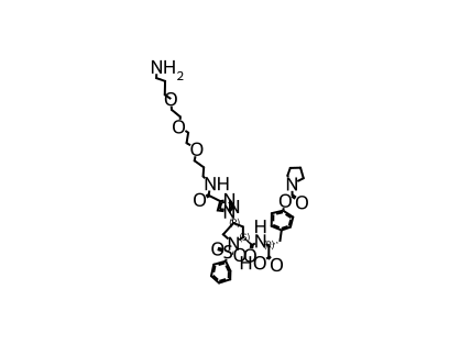 NCCCOCCOCCOCCCNC(=O)c1cn([C@@H]2C[C@@H](C(=O)N[C@H](Cc3ccc(OC(=O)N4CCCC4)cc3)C(=O)O)N(S(=O)(=O)c3ccccc3)C2)nn1